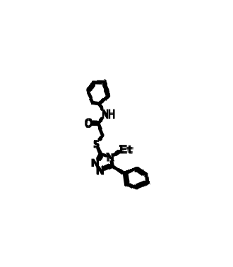 CCn1c(SCC(=O)NC2C=CC=CC2)nnc1-c1ccccc1